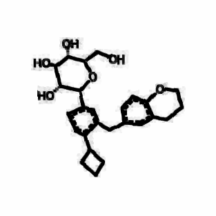 OC[C@H]1O[C@@H](c2ccc(C3CCC3)c(Cc3ccc4c(c3)CCCO4)c2)[C@H](O)[C@@H](O)[C@@H]1O